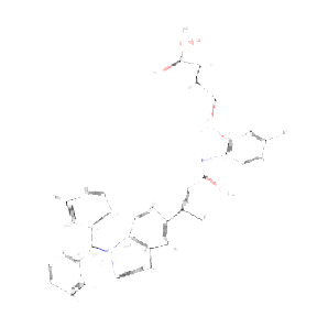 CC(=CC(=O)Nc1ccc(C)cc1OCCCC(=O)O)c1ccc2c(ccn2C(c2ccccc2)c2ccccc2)c1